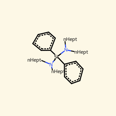 CCCCCCCN(CCCCCCC)[Si](c1ccccc1)(c1ccccc1)N(CCCCCCC)CCCCCCC